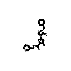 Cc1cc(-n2cnn(Cc3ccccc3)c2=O)sc1C(=O)NCc1cccnc1